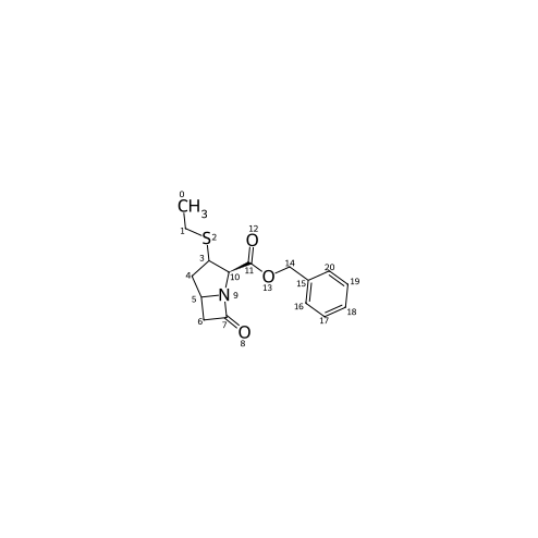 CCSC1CC2CC(=O)N2[C@@H]1C(=O)OCc1ccccc1